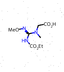 CCOC(=O)N/C(=N\OC)N(C)CC(=O)O